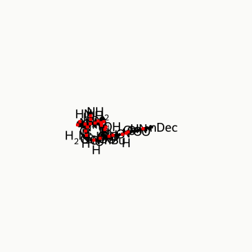 CCCCCCCCCCCCCC(=O)NCCOCCOCC(=O)NCCOCCOCC(=O)N[C@@H](CCCC)C(=O)N[C@H]1CCC(=O)NCCCC[C@@H](C(N)=O)NC(=O)[C@H](Cc2c[nH]c3ccccc23)NC(=O)[C@H](CCCNC(=N)N)NC(=O)[C@@H](Cc2ccccc2)NC(=O)[C@@H]2C[C@@H](O)CN2C1=O